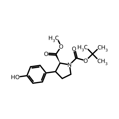 COC(=O)[C@@H]1C(c2ccc(O)cc2)CCN1C(=O)OC(C)(C)C